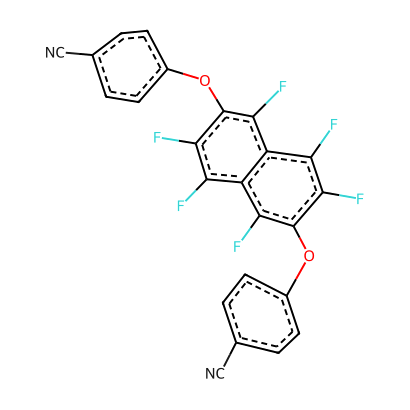 N#Cc1ccc(Oc2c(F)c(F)c3c(F)c(Oc4ccc(C#N)cc4)c(F)c(F)c3c2F)cc1